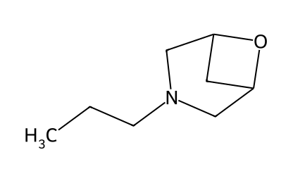 CCCN1CC2CC(C1)O2